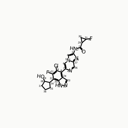 O=C(Nc1cn2cc(-c3c(Cl)c(F)c(C4CCCC4O)c4[nH]ncc34)ncc2n1)C1CC1F